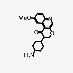 COc1ccc2ncc3c(c2c1)C(=O)C(C1CCC(N)CC1)CO3